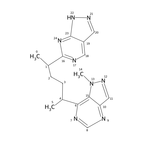 CC(CCC(C)c1ncnc2cnn(C)c12)c1ncc2cn[nH]c2n1